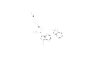 C[C@@H](NC(=O)c1c[nH]c2ncc(-c3nn(C)c4cccnc34)nc12)C(=O)N1CC(C#N)C1